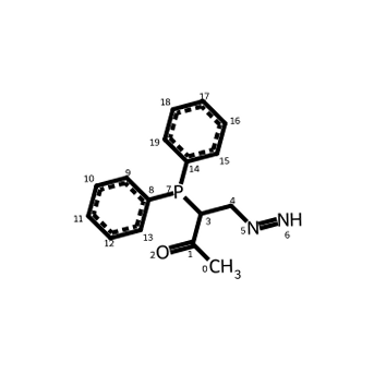 CC(=O)C(CN=N)P(c1ccccc1)c1ccccc1